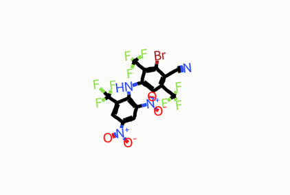 N#Cc1c(C(F)(F)F)cc(Nc2c([N+](=O)[O-])cc([N+](=O)[O-])cc2C(F)(F)F)c(C(F)(F)F)c1Br